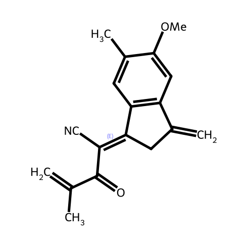 C=C(C)C(=O)/C(C#N)=C1\CC(=C)c2cc(OC)c(C)cc21